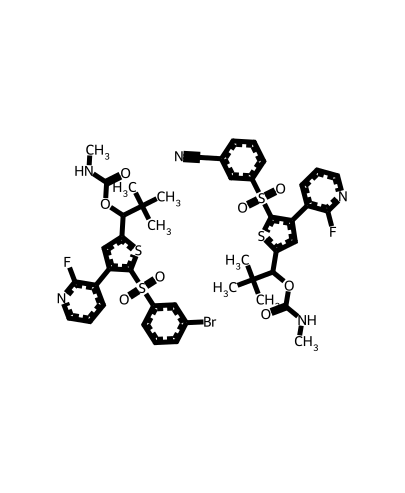 CNC(=O)OC(c1cc(-c2cccnc2F)c(S(=O)(=O)c2cccc(Br)c2)s1)C(C)(C)C.CNC(=O)OC(c1cc(-c2cccnc2F)c(S(=O)(=O)c2cccc(C#N)c2)s1)C(C)(C)C